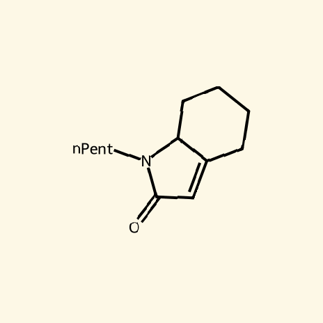 CCCCCN1C(=O)C=C2CCCCC21